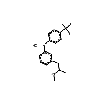 CNC(C)Cc1cccc(Oc2ccc(C(F)(F)F)cc2)c1.Cl